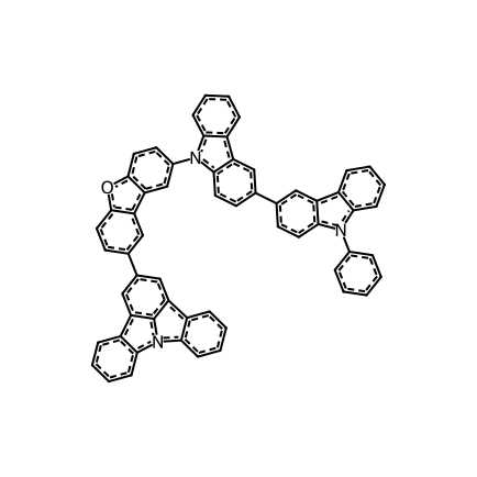 c1ccc(-n2c3ccccc3c3cc(-c4ccc5c(c4)c4ccccc4n5-c4ccc5oc6ccc(-c7cc8c9ccccc9n9c%10ccccc%10c(c7)c89)cc6c5c4)ccc32)cc1